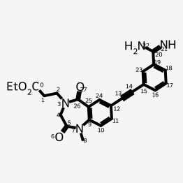 CCOC(=O)CCN1CC(=O)N(C)c2ccc(C#Cc3cccc(C(=N)N)c3)cc2C1=O